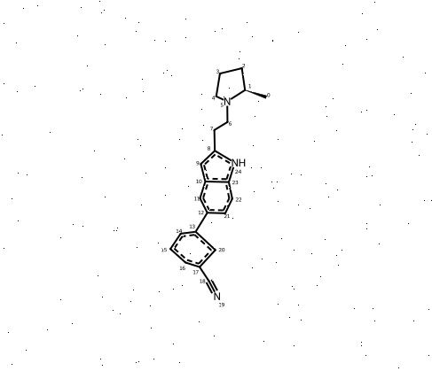 C[C@@H]1CCCN1CCc1cc2cc(-c3cccc(C#N)c3)ccc2[nH]1